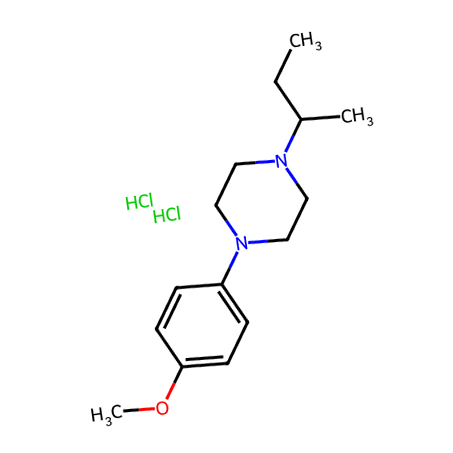 CCC(C)N1CCN(c2ccc(OC)cc2)CC1.Cl.Cl